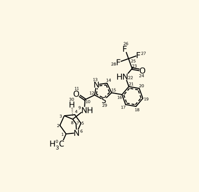 CC1CC2CCN1C[C@@H]2NC(=O)c1ncc(-c2ccccc2NC(=O)C(F)(F)F)s1